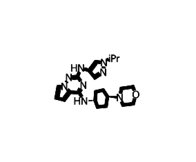 CC(C)n1cc(Nc2nc(N[C@H]3CC[C@H](N4CCOCC4)CC3)c3cccn3n2)cn1